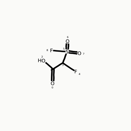 O=C(O)C(F)S(=O)(=O)F